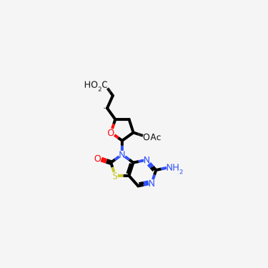 CC(=O)OC1CC([CH]CC(=O)O)OC1n1c(=O)sc2cnc(N)nc21